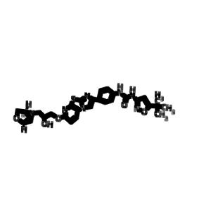 CC(C)(C)c1cc(NC(=O)Nc2ccc(-c3cn4c(n3)sc3nc(OCC(O)CN5C[C@@H]6C[C@H]5CO6)ccc34)cc2)no1